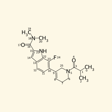 CC(C)C(=O)N1CCC=C(c2ccc3cc(C(=O)N(C)C)[nH]c3c2F)C1